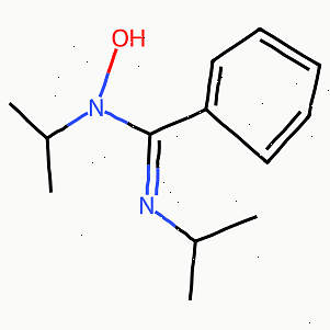 CC(C)/N=C(\c1ccccc1)N(O)C(C)C